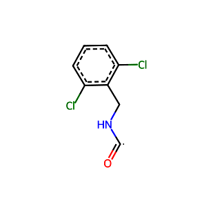 O=[C]NCc1c(Cl)cccc1Cl